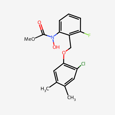 COC(=O)N(O)c1cccc(F)c1COc1cc(C)c(C)cc1Cl